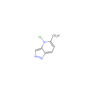 O=C(O)c1ccc2nncc-2n1Cl